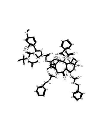 COc1ccc(C2O[C@@H](C(=O)O[C@H]3C[C@@]4(O)[C@@H](OC(=O)c5ccccc5)C5[C@](C)(C(=O)[C@H](OC(=O)OCc6ccccc6)C(=C3C)C4(C)C)[C@@H](OC(=O)OCc3ccccc3)C[C@H]3OC[C@@]53OC(C)=O)[C@H](CC(C)C)N2C(=O)OC(C)(C)C)c(O)c1